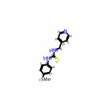 CSc1ccc(NC(=S)NCc2ccncc2)cc1